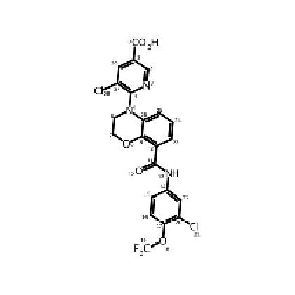 O=C(O)c1cnc(N2CCOc3c(C(=O)Nc4ccc(OC(F)(F)F)c(Cl)c4)cccc32)c(Cl)c1